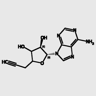 C#CCC1O[C@@H](n2cnc3c(N)ncnc32)[C@H](O)C1O